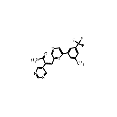 Cc1cc(-c2cncc(/C=C(\C(N)=O)c3cncnc3)n2)cc(C(F)(F)F)c1